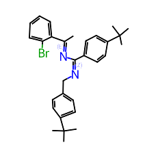 C/C(=N\C(=N/Cc1ccc(C(C)(C)C)cc1)c1ccc(C(C)(C)C)cc1)c1ccccc1Br